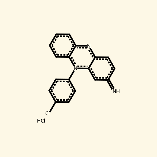 Cl.N=c1ccc2nc3ccccc3n(-c3ccc(Cl)cc3)c-2c1